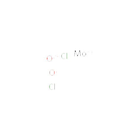 [Cl-].[Cl-].[Mo+6].[O-2].[O-2]